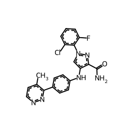 Cc1ccnnc1-c1ccc(Nc2cn(-c3c(F)cccc3Cl)nc2C(N)=O)cc1